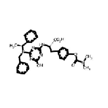 C[C@@H](c1ccccc1)N(Cc1ccccc1)c1nc(O)nc(N[C@@H](Cc2ccc(OC(=O)N(C)C)cc2)C(=O)O)n1